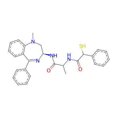 CC(NC(=O)C(S)c1ccccc1)C(=O)N[C@@H]1CN(C)c2ccccc2C(c2ccccc2)=N1